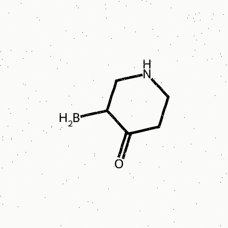 BC1CNCCC1=O